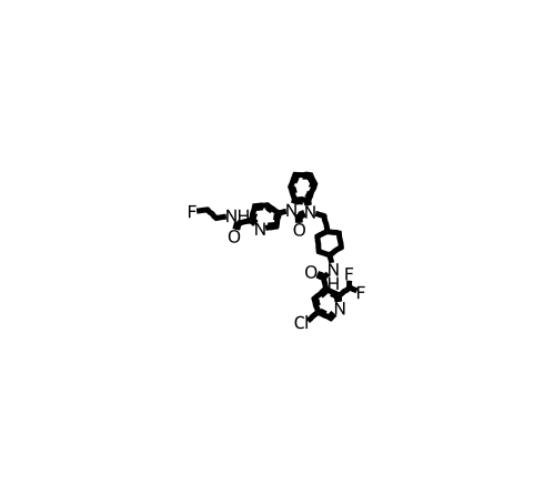 O=C(NCCF)c1ccc(-n2c(=O)n(CC3CCC(NC(=O)c4cc(Cl)cnc4C(F)F)CC3)c3ccccc32)cn1